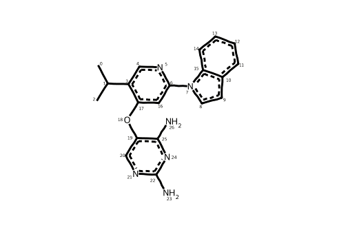 CC(C)c1cnc(-n2ccc3ccccc32)cc1Oc1cnc(N)nc1N